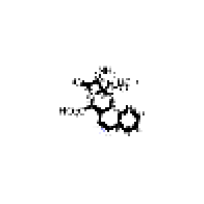 Cl.Cl.N[C@@H]1C(=O)N2C(C(=O)O)=C(/C=C\c3cccnc3)CS[C@@H]12